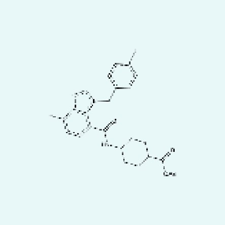 COC(=O)C1CCC(NC(=O)c2ccc(F)c3ccn(Cc4ccc(I)cc4)c23)CC1